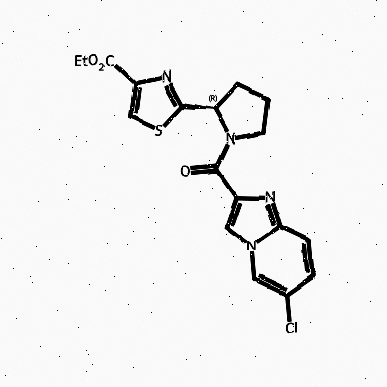 CCOC(=O)c1csc([C@H]2CCCN2C(=O)c2cn3cc(Cl)ccc3n2)n1